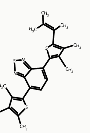 CC(C)=C(C)c1sc(-c2ccc(-c3sc(C)c(C)c3C)c3nsnc23)c(C)c1C